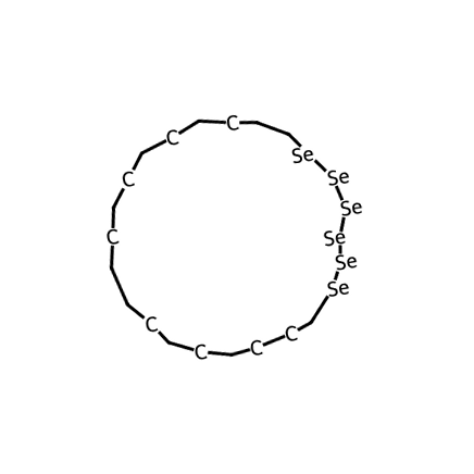 C1CCCCCCCCC[Se][Se][Se][Se][Se][Se]CCCCCCCC1